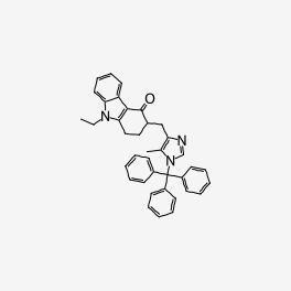 CCn1c2c(c3ccccc31)C(=O)C(Cc1ncn(C(c3ccccc3)(c3ccccc3)c3ccccc3)c1C)CC2